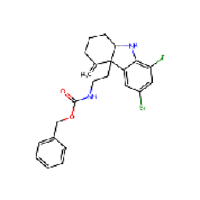 C=C1CCCC2Nc3c(F)cc(Br)cc3C12CCNC(=O)OCc1ccccc1